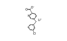 O=C([O-])c1ccc(Cc2cccc(Cl)c2)cn1.[Li+]